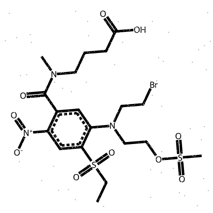 CCS(=O)(=O)c1cc([N+](=O)[O-])c(C(=O)N(C)CCCC(=O)O)cc1N(CCBr)CCOS(C)(=O)=O